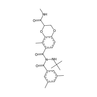 CNC(=O)C1COc2ccc(C(=O)N(NC(C)(C)C)C(=O)c3cc(C)cc(C)c3)c(C)c2O1